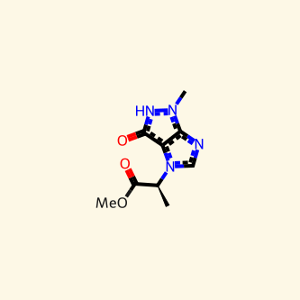 COC(=O)[C@H](C)n1cnc2c1c(=O)[nH]n2C